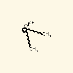 CCCCCCCCCc1cccc(OCC[O])c1CCCCCCCCC